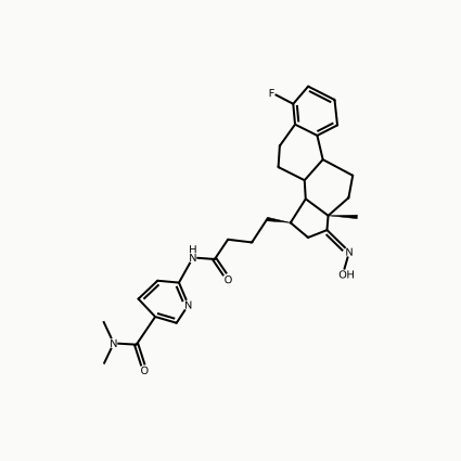 CN(C)C(=O)c1ccc(NC(=O)CCC[C@@H]2C/C(=N\O)[C@@]3(C)CCC4c5cccc(F)c5CCC4C23)nc1